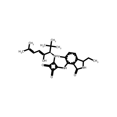 CCC1NC(=O)c2c1ccc(F)c2Nc1c(N[C@@H](/C(O)=C/C=C(C)C)C(C)(C)C)c(=O)c1=O